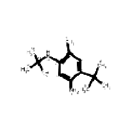 Cc1cc(C(C)(C)C)c(N)cc1NC(C)(C)C